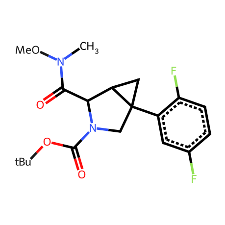 CON(C)C(=O)C1C2CC2(c2cc(F)ccc2F)CN1C(=O)OC(C)(C)C